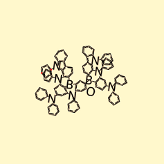 c1ccc(N(c2ccccc2)c2cc3c4c(c2)N(c2ccccc2)c2c(ccc5c6ccccc6n(-c6ccccc6)c25)B4c2cc4c(cc2O3)N(c2ccccc2)c2cc(N(c3ccccc3)c3ccccc3)cc3c2B4c2ccc4c5ccccc5n(-c5ccccc5)c4c2N3c2ccccc2)cc1